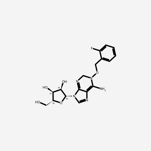 NC1=c2ncn([C@@H]3O[C@H](CO)[C@@H](O)[C@H]3O)c2=NCN1OCc1ccccc1F